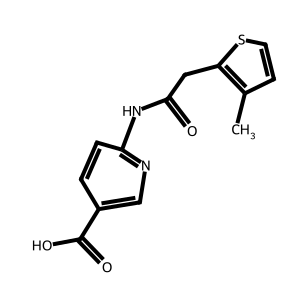 Cc1ccsc1CC(=O)Nc1ccc(C(=O)O)cn1